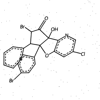 O=C1C(Br)C(c2ccccc2)C2(c3ccc(Br)cc3)Oc3cc(Cl)cnc3C12O